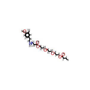 CCCC(=O)OCCCOCCCOCCCOC(=O)CCN(C)CCc1ccc(OC)c(C)c1